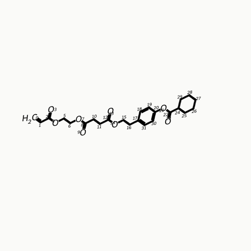 C=CC(=O)OCCOC(=O)CCC(=O)OCCc1ccc(OC(=O)C2CCCCC2)cc1